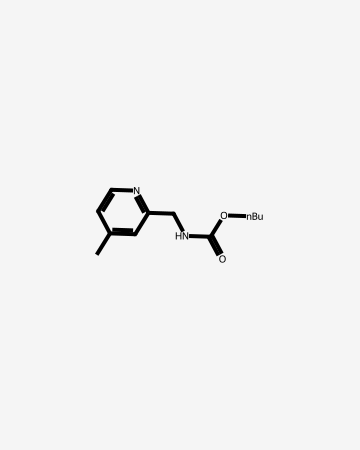 CCCCOC(=O)NCc1cc(C)ccn1